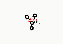 Cc1cc(-c2ccccc2)cc(OC(=O)c2ccccc2)c1OC(=O)c1ccccc1